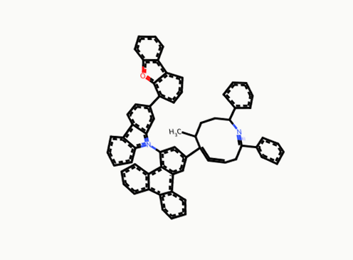 CC1CCC(c2ccccc2)/N=C(/c2ccccc2)CC=C=C1c1cc(-n2c3ccccc3c3ccc(-c4cccc5c4oc4ccccc45)cc32)c2c3ccccc3c3ccccc3c2c1